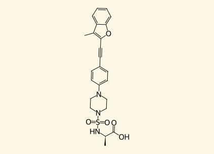 Cc1c(C#Cc2ccc(N3CCN(S(=O)(=O)N[C@H](C)C(=O)O)CC3)cc2)oc2ccccc12